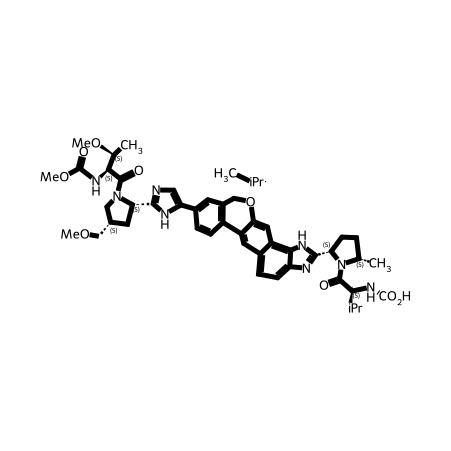 COC[C@H]1C[C@@H](c2ncc(-c3ccc4c(c3)COc3cc5c(ccc6nc([C@@H]7CC[C@H](C)N7C(=O)[C@@H](NC(=O)O)C(C)C)[nH]c65)cc3-4)[nH]2)N(C(=O)[C@@H](NC(=O)OC)[C@H](C)OC)C1.C[C](C)C